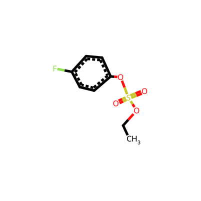 CCOS(=O)(=O)Oc1ccc(F)cc1